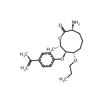 C=C(C)c1ccc(O[C@H]2[C@H](C)OC(=O)[C@@H](N)CCC[C@@H]2OCCC)cc1